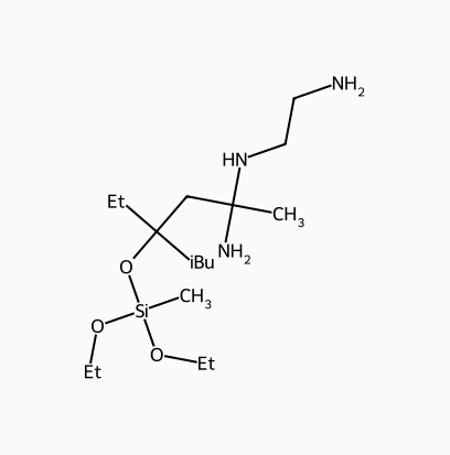 CCO[Si](C)(OCC)OC(CC)(CC(C)(N)NCCN)C(C)CC